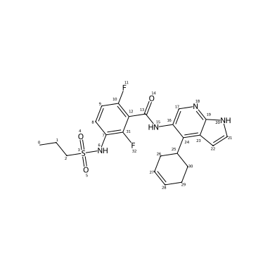 CCCS(=O)(=O)Nc1ccc(F)c(C(=O)Nc2cnc3[nH]ccc3c2C2CC=CCC2)c1F